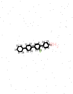 Bc1ccc(-c2ccc(-c3ccc(C4CCCCC4)cc3)cc2F)cc1